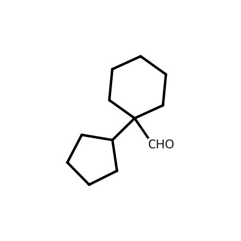 O=CC1(C2CCCC2)CCCCC1